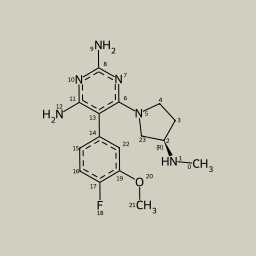 CN[C@@H]1CCN(c2nc(N)nc(N)c2-c2ccc(F)c(OC)c2)C1